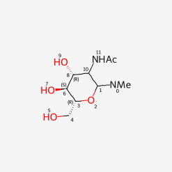 CNC1O[C@H](CO)[C@@H](O)[C@H](O)C1NC(C)=O